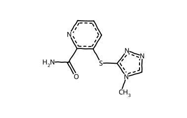 Cn1cnnc1Sc1cccnc1C(N)=O